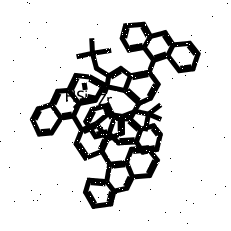 C[SiH](C)[Zr]([CH]1C(CC(C)(C)C)=Cc2c(-c3c4ccccc4cc4ccccc34)ccc(-c3c4ccccc4cc4ccccc34)c21)[CH]1C(CC(C)(C)C)=Cc2c(-c3c4ccccc4cc4ccccc34)ccc(-c3c4ccccc4cc4ccccc34)c21